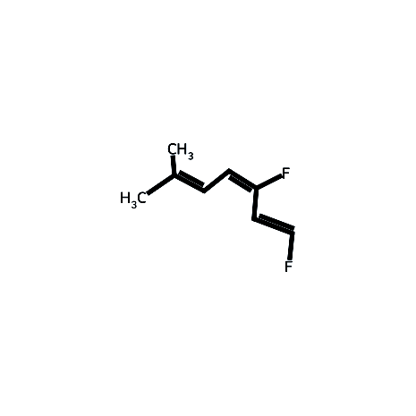 CC(C)=C/C=C(F)\C=C\F